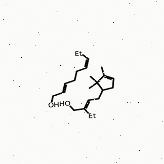 CC/C(=C\CC1CC=C(C)C1(C)C)CO.CC/C=C\CC/C=C/CO